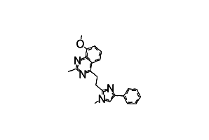 COc1cccc2c(CCc3nc(-c4ccccc4)cn3C)nc(C)nc12